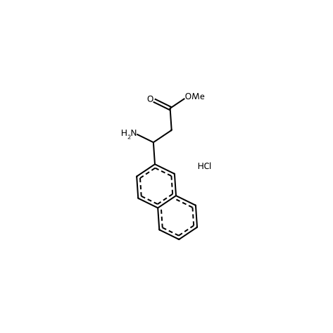 COC(=O)CC(N)c1ccc2ccccc2c1.Cl